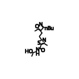 CCCCc1noc(C)c1CCc1nc(C)c(C(=O)NCC(C)O)s1